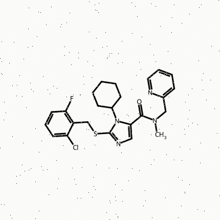 CN(Cc1ccccn1)C(=O)c1cnc(SCc2c(F)cccc2Cl)n1C1CCCCC1